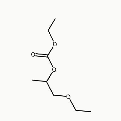 CCOCC(C)OC(=O)OCC